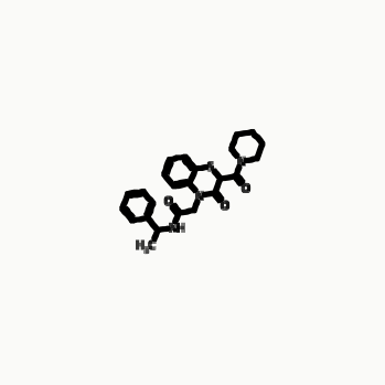 CC(NC(=O)CN1C(=O)C(C(=O)N2CCCCC2)Sc2ccccc21)c1ccccc1